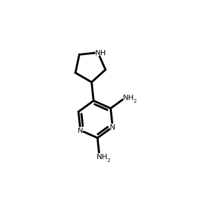 Nc1ncc(C2CCNC2)c(N)n1